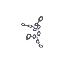 c1ccc(-c2ccc(N(c3ccc(-c4ccccc4)cc3)c3cccc(-n4c5ccccc5c5c(N(c6ccc(-c7ccccc7)cc6)c6ccc(-c7ccccc7)cc6)cccc54)c3)cc2)cc1